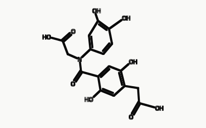 O=C(O)Cc1cc(O)c(C(=O)N(CC(=O)O)c2ccc(O)c(O)c2)cc1O